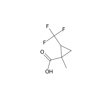 CC1(C(=O)O)CC1C(F)(F)F